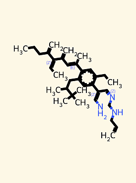 C=CCNC/N=C\C(=C/N)c1cc(CC(C)C(C)(C)C)c(/C(C)=C/C(=C)/C(=C\C)C(=C)CCC)cc1CC